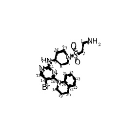 NCCS(=O)(=O)N1CCC(Nc2ncc(Br)c(N3CCCc4ccccc43)n2)CC1